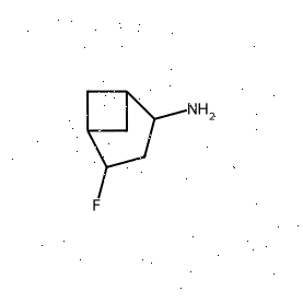 NC1CC(F)C2CC1C2